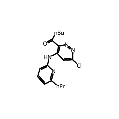 CCCCC(=O)c1nnc(Cl)cc1Nc1cccc(CCC)n1